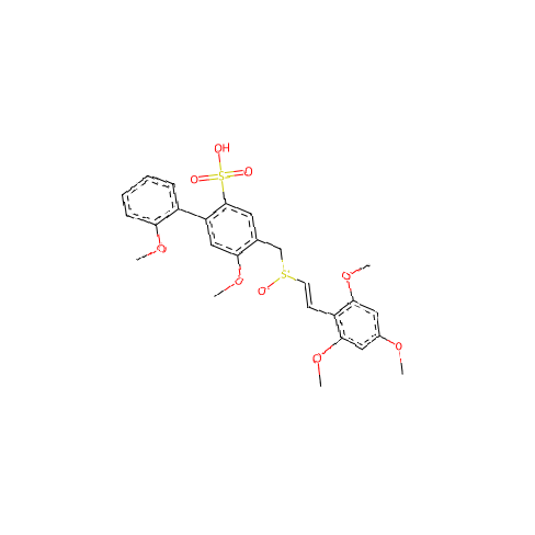 COc1cc(OC)c(C=C[S+]([O-])Cc2cc(S(=O)(=O)O)c(-c3ccccc3OC)cc2OC)c(OC)c1